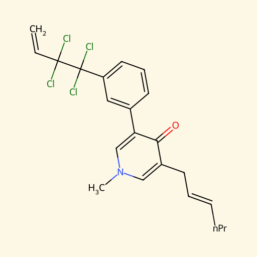 C=CC(Cl)(Cl)C(Cl)(Cl)c1cccc(-c2cn(C)cc(CC=CCCC)c2=O)c1